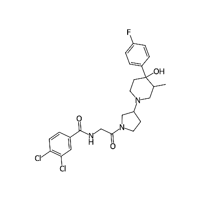 CC1CN(C2CCN(C(=O)CNC(=O)c3ccc(Cl)c(Cl)c3)C2)CCC1(O)c1ccc(F)cc1